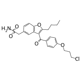 CCCCc1oc2ccc(CS(N)(=O)=O)cc2c1C(=O)c1ccc(OCCCCl)cc1